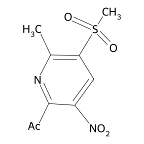 CC(=O)c1nc(C)c(S(C)(=O)=O)cc1[N+](=O)[O-]